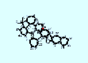 CC1(C)c2ccccc2-c2c(N(c3ccccc3)c3ccccc3-c3cccc4c3oc3cc5ccccc5cc34)cccc21